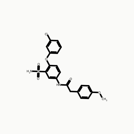 COc1ccc(CC(=O)Nc2ccc(Oc3cccc(Cl)c3)c(S(N)(=O)=O)c2)cc1